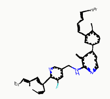 C\C=C/C(=C\C(C)=C\CC)c1ncc(CNc2nccc(-c3ccc(C)c(/C=C\C=C\CCC)c3)c2C)cc1F